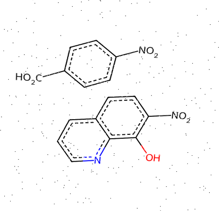 O=C(O)c1ccc([N+](=O)[O-])cc1.O=[N+]([O-])c1ccc2cccnc2c1O